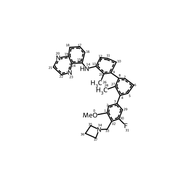 COc1cc(-c2cccc(-c3cccc(Nc4cccc5nccnc45)c3C)c2C)cc(F)c1CN1CCC1